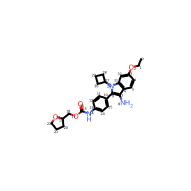 CCOc1ccc2c(N)c(-c3ccc(NC(=O)OCC4CCCO4)cc3)n(C3CCC3)c2c1